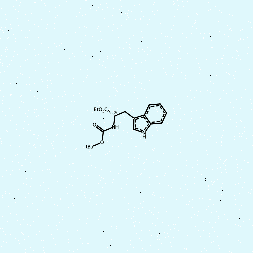 CCOC(=O)[C@H](Cc1c[nH]c2ccccc12)NC(=O)OC(C)(C)C